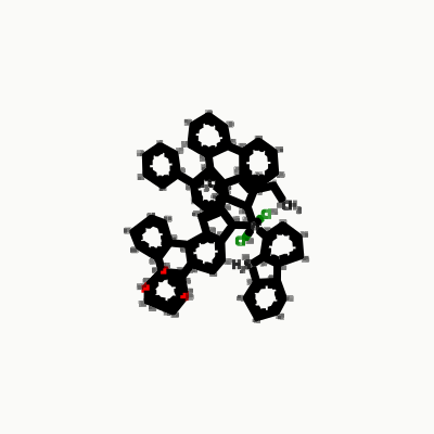 CCC1=Cc2c(ccc(-c3ccccc3)c2-c2ccccc2-c2ccccc2)[CH]1[Zr]([Cl])([Cl])([c]1cccc2c1[SiH2]c1ccccc1-2)[CH]1C(CC)=Cc2c1ccc(-c1ccccc1)c2-c1ccccc1-c1ccccc1